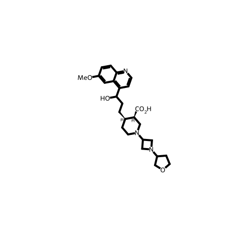 COc1ccc2nccc(C(O)CC[C@@H]3CCN(C4CN(C5CCOC5)C4)C[C@@H]3C(=O)O)c2c1